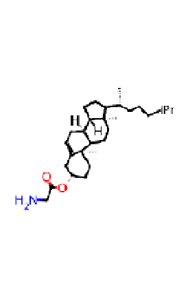 CC(C)CCC[C@@H](C)C1CC[C@H]2[C@@H]3CC=C4C[C@@H](OC(=O)CN)CC[C@]4(C)C3CC[C@]12C